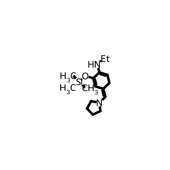 CCNC1=CCC(=CN2CCCC2)C=C1O[Si](C)(C)C